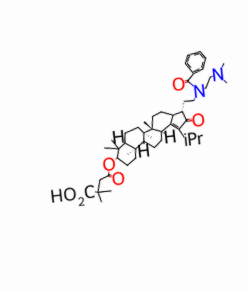 CC(C)C1=C2C(CC[C@]3(C)[C@@H]2CC[C@@H]2[C@@]4(C)CC[C@H](OC(=O)CC(C)(C)C(=O)O)C(C)(C)[C@@H]4CC[C@]23C)[C@H](CCN(CCN(C)C)C(=O)c2ccccc2)C1=O